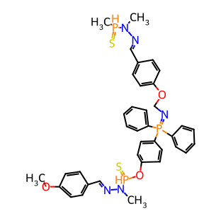 COc1ccc(C=NN(C)[PH](=S)Oc2ccc(P(=NCOc3ccc(C=NN(C)[PH](C)=S)cc3)(c3ccccc3)c3ccccc3)cc2)cc1